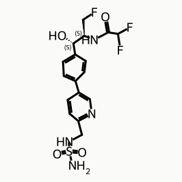 NS(=O)(=O)NCc1ccc(-c2ccc([C@H](O)[C@@H](CF)NC(=O)C(F)F)cc2)cn1